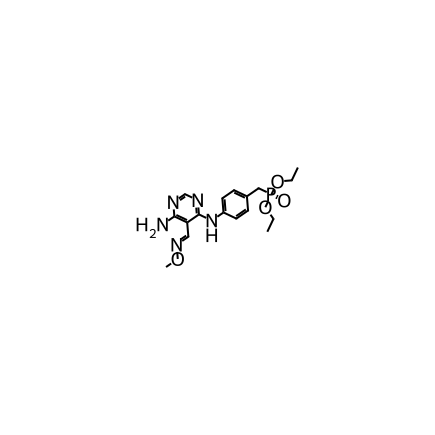 CCOP(=O)(Cc1ccc(Nc2ncnc(N)c2/C=N/OC)cc1)OCC